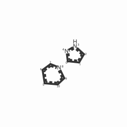 [c]1cc[nH]n1.c1ccncc1